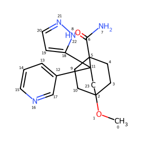 COC12CCC(C(N)=O)(CC1)C(c1cccnc1)(c1ccn[nH]1)C2